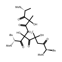 CCC(C)[C@@H](NC)C(=O)CC(O)(C(=O)O)C(=O)C(O)(CC(=O)C(C)(O)C(=O)[C@@H](C)NC)C(=O)[C@H](NC)[C@@H](C)CC